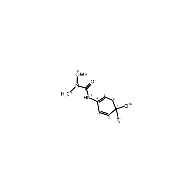 CON(C)C(=O)NC1=CCC(Cl)(Br)C=C1